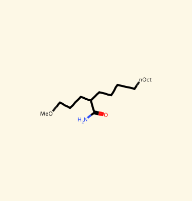 CCCCCCCCCCCCC(CCCOC)C(N)=O